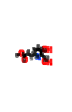 COC(=O)CCc1ccc(O)c(CO)n1